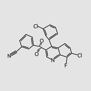 N#Cc1cccc(S(=O)(=O)c2cnc3c(F)c(Cl)ccc3c2-c2cccc(Cl)c2)c1